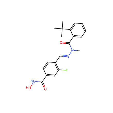 CN(N=Cc1ccc(C(=O)NO)cc1F)C(=O)c1ccccc1C(C)(C)C